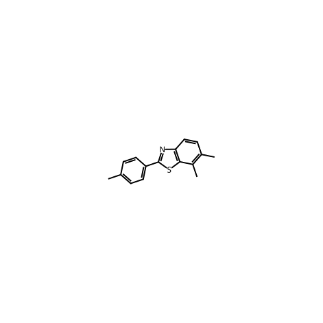 Cc1ccc(-c2nc3ccc(C)c(C)c3s2)cc1